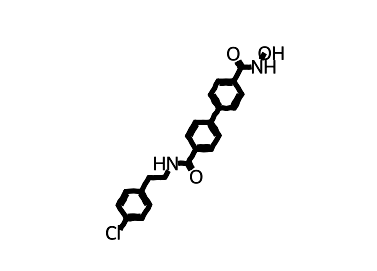 O=C(NO)c1ccc(-c2ccc(C(=O)NCCc3ccc(Cl)cc3)cc2)cc1